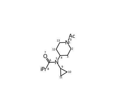 CC(=O)N1CCC(N(C(=O)C(C)C)C2CC2)CC1